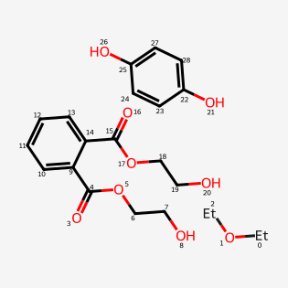 CCOCC.O=C(OCCO)c1ccccc1C(=O)OCCO.Oc1ccc(O)cc1